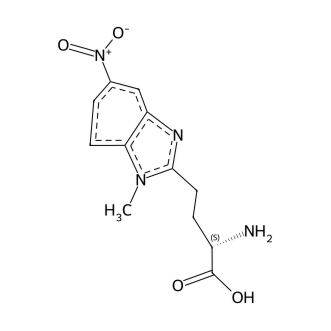 Cn1c(CC[C@H](N)C(=O)O)nc2cc([N+](=O)[O-])ccc21